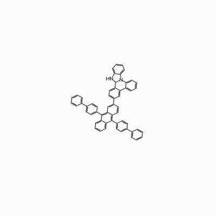 c1ccc(-c2ccc(-c3c4ccccc4c(-c4ccc(-c5ccccc5)cc4)c4cc(-c5ccc6c(c5)-c5ccccc5N5c7ccccc7NC65)ccc34)cc2)cc1